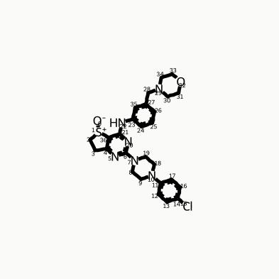 [O-][S+]1CCc2nc(N3CCN(c4ccc(Cl)cc4)CC3)nc(Nc3cccc(CN4CCOCC4)c3)c21